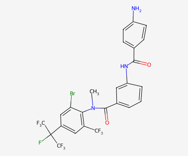 CN(C(=O)c1cccc(NC(=O)c2ccc(N)cc2)c1)c1c(Br)cc(C(F)(C(F)(F)F)C(F)(F)F)cc1C(F)(F)F